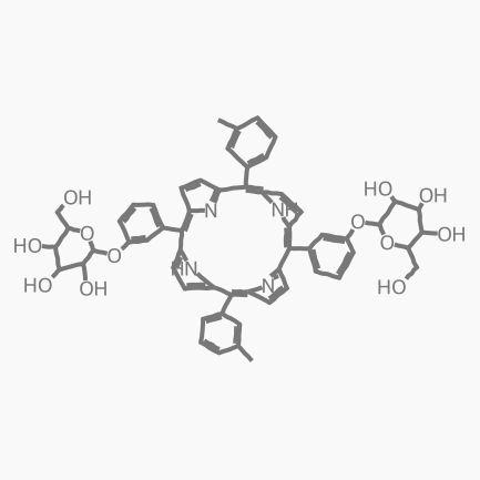 Cc1cccc(-c2c3nc(c(-c4cccc(OC5OC(CO)C(O)C(O)C5O)c4)c4ccc([nH]4)c(-c4cccc(C)c4)c4nc(c(-c5cccc(OC6OC(CO)C(O)C(O)C6O)c5)c5ccc2[nH]5)C=C4)C=C3)c1